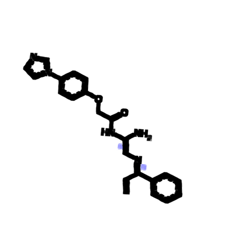 C=C/C(=N\C=C(/N)NC(=O)COc1ccc(-n2ccnc2)cc1)c1ccccc1